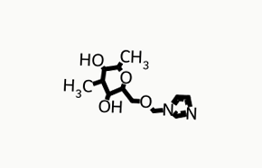 CC1OC(COCn2ccnc2)C(O)C(C)C1O